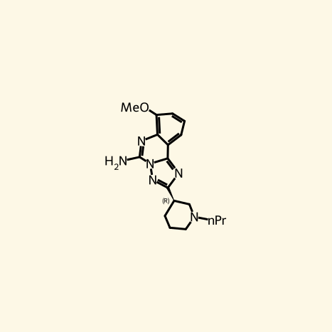 CCCN1CCC[C@@H](c2nc3c4cccc(OC)c4nc(N)n3n2)C1